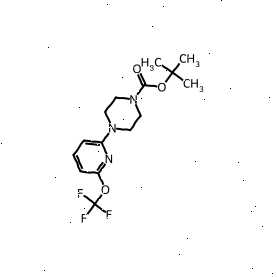 CC(C)(C)OC(=O)N1CCN(c2cccc(OC(F)(F)F)n2)CC1